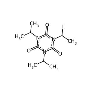 CC(C)n1c(=O)n(C(C)C)c(=O)n(C(C)I)c1=O